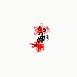 C=C(C)[C@]1(CC2OC(CO)C(O)C(OC3OC(CO)C(O)C(O)C3O)C2OC2OC(CO)C(O)C(O)C2O)CC[C@@H]2[C@@](C)(CC[C@H]3[C@@]2(C)CCC[C@@]3(C)C(=O)OC2OC(CO)C(O)C(OC3OC(CO)C(O)C(O)C3O)C2OC2OC(CO)C(O)C(O)C2O)C1